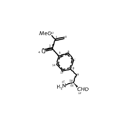 C=C(OC)C(=O)c1ccc(C[C@H](N)C=O)cc1